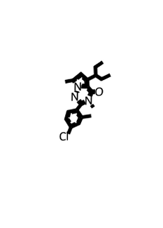 CCC(CC)c1cc(C)n2nc(-c3ccc(Cl)cc3C)n(C)c(=O)c12